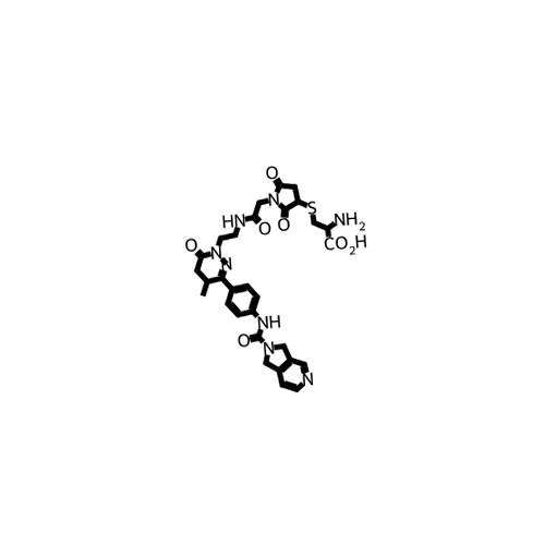 CC1CC(=O)N(CCNC(=O)CN2C(=O)CC(SCC(N)C(=O)O)C2=O)N=C1c1ccc(NC(=O)N2Cc3ccncc3C2)cc1